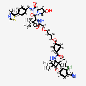 Cc1ncsc1-c1ccc(CNC(=O)[C@@H]2C[C@H](O)CN2C(=O)[C@@H](NC(=O)COCCCCOc2ccc(C(=O)N[C@H]3C(C)(C)[C@H](Oc4ccc(C#N)c(Cl)c4)C3(C)C)cc2)C(C)(C)C)cc1